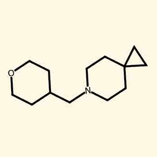 C1CC(CN2CCC3(CC2)CC3)CCO1